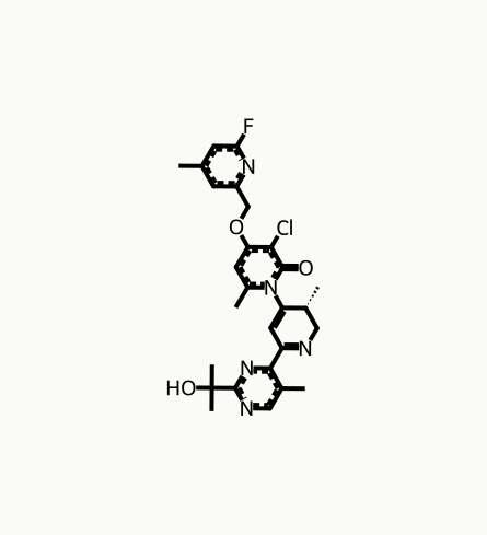 Cc1cc(F)nc(COc2cc(C)n(C3=CC(c4nc(C(C)(C)O)ncc4C)=NC[C@H]3C)c(=O)c2Cl)c1